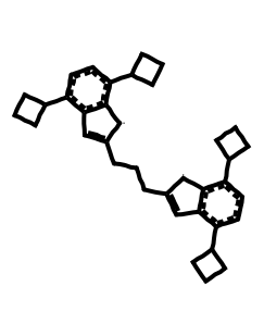 [CH]1C(CCCC2=Cc3c(C4CCC4)ccc(C4CCC4)c3[CH]2)=Cc2c(C3CCC3)ccc(C3CCC3)c21